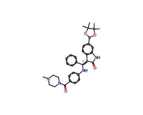 CN1CCN(C(=O)c2ccc(N/C(=C3\C(=O)Nc4cc(B5OC(C)(C)C(C)(C)O5)ccc43)c3ccccc3)cc2)CC1